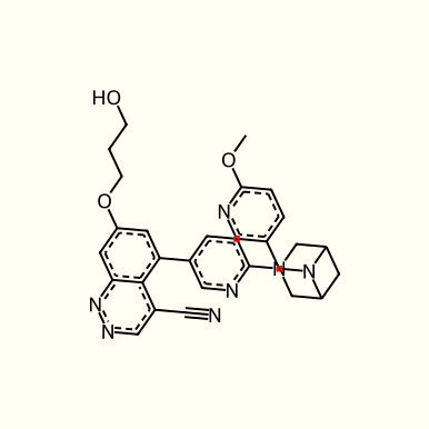 COc1ccc(CN2C3CC2CN(c2ccc(-c4cc(OCCCO)cc5nncc(C#N)c45)cn2)C3)cn1